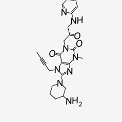 CC#CCn1c(N2CCCC(N)C2)nc2c1c(=O)n(CC(=O)CNc1ccccn1)c(=O)n2C